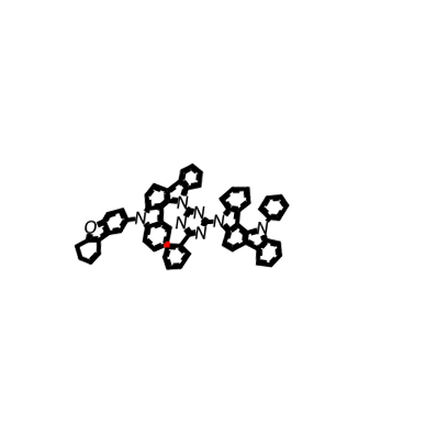 C1=Cc2c(oc3ccc(-n4c5ccccc5c5c4ccc4c6ccccc6n(-c6nc(-c7ccccc7)nc(-n7c8ccccc8c8c7ccc7c9ccccc9n(-c9ccccc9)c78)n6)c45)cc23)CC1